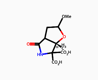 COC1CC2C(=O)NC(C(=O)O)(C(=O)O)[C@@]2(C)O1